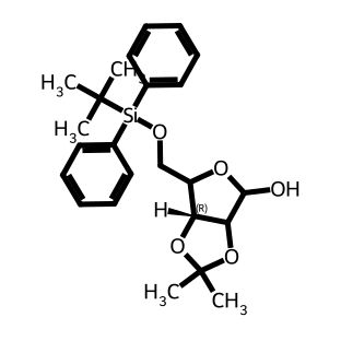 CC1(C)OC2C(O)OC(CO[Si](c3ccccc3)(c3ccccc3)C(C)(C)C)[C@H]2O1